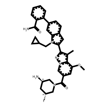 COc1cc(C(=O)N2C[C@H](N)C[C@@H](F)C2)cn2nc(-c3cc4ccc(-c5ccccc5C(N)=O)cc4n3CC3CC3)c(C)c12